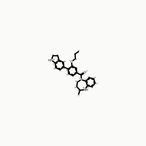 CCCOc1cc(C(=O)N2CCC(C)Nc3ccccc32)ccc1-c1ccc2c(c1)CCN2